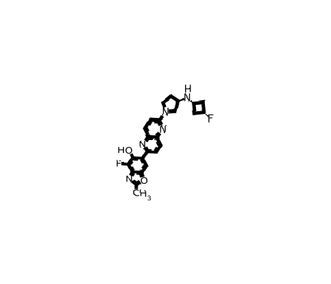 Cc1nc2c(F)c(O)c(-c3ccc4nc(N5CC[C@@H](N[C@H]6C[C@@H](F)C6)C5)ccc4n3)cc2o1